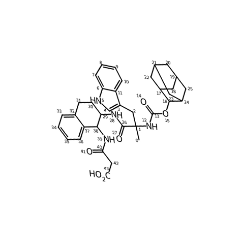 CC(Cc1c[nH]c2ccccc12)(NC(=O)OC1C2CC3CC(C2)CC1C3)C(=O)NC1CCc2ccccc2C1NC(=O)CC(=O)O